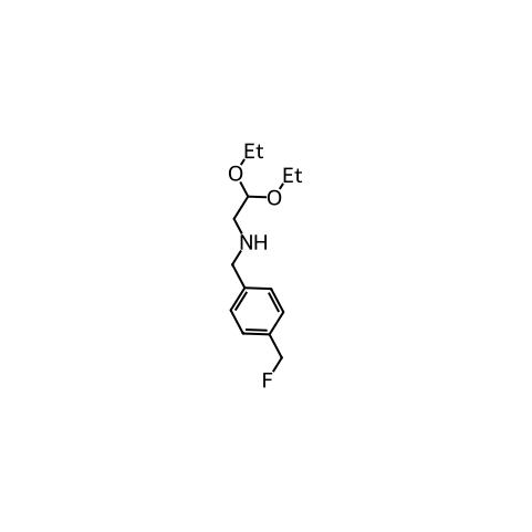 CCOC(CNCc1ccc(CF)cc1)OCC